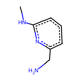 CNc1cccc(CN)n1